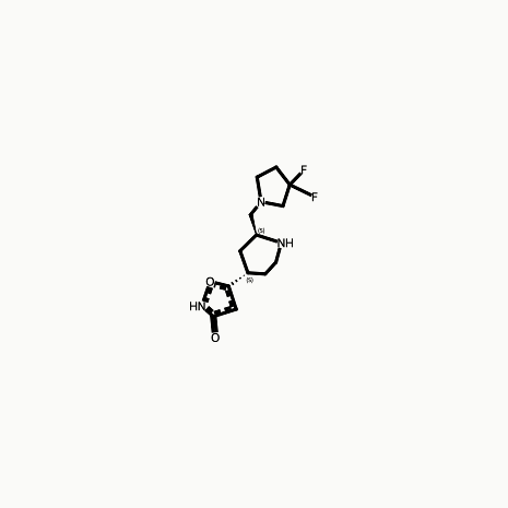 O=c1cc([C@H]2CCN[C@H](CN3CCC(F)(F)C3)C2)o[nH]1